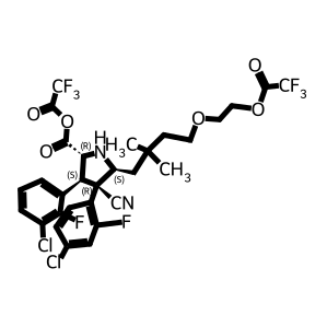 CC(C)(CCOCCOC(=O)C(F)(F)F)C[C@@H]1N[C@@H](C(=O)OC(=O)C(F)(F)F)[C@H](c2cccc(Cl)c2F)[C@@]1(C#N)c1ccc(Cl)cc1F